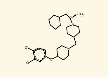 O=C(O)[C@H](CC1CCCCC1)N1CCC(CN2CCC(Oc3ccc(Cl)c(Cl)c3)CC2)CC1